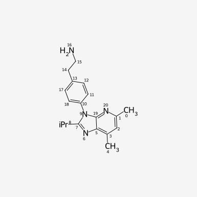 Cc1cc(C)c2nc(C(C)C)n(-c3ccc(CCN)cc3)c2n1